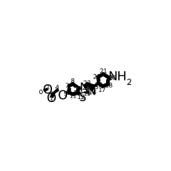 COC(=O)COc1ccc2c(c1)sc1nc(-c3ccc(N)cc3)cn12